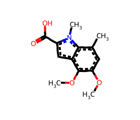 COc1cc(C)c2c(cc(C(=O)O)n2C)c1OC